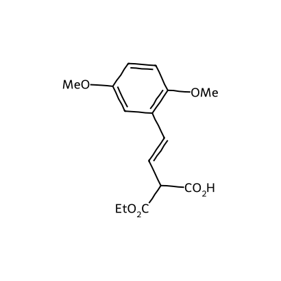 CCOC(=O)C(C=Cc1cc(OC)ccc1OC)C(=O)O